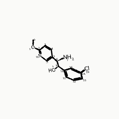 COc1ccc([C@@H](N)[C@H](O)c2cccc(Cl)c2)cn1